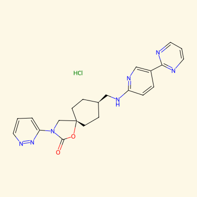 Cl.O=C1O[C@]2(CC[C@H](CNc3ccc(-c4ncccn4)cn3)CC2)CN1c1cccnn1